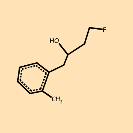 Cc1ccccc1CC(O)CCF